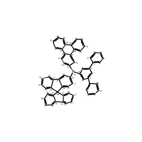 c1ccc(-c2cc(-c3ccccc3)cc(N(c3ccc4c(c3)-c3ccccc3C43c4ccccc4-c4ccccc43)c3ccc4c5ccccc5c5ccccc5c4c3)c2)cc1